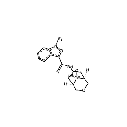 CCCC[N+]1([O-])[C@@H]2COC[C@H]1C[C@@H](NC(=O)c1nn(C(C)C)c3ccccc13)C2